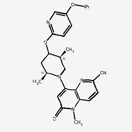 CC(C)Oc1ccc(OC2C[C@H](C)N(c3cc(=O)n(C)c4ccc(C#N)nc34)C[C@@H]2C)nc1